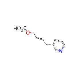 O=C(O)OCC=CCc1cccnc1